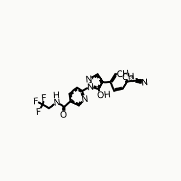 C=C(C#N)/C=C\C(=C/C)c1cnn(-c2ccc(C(=O)NCC(F)(F)F)cn2)c1O